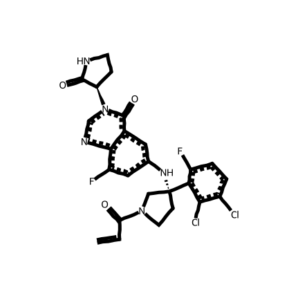 C=CC(=O)N1CC[C@](Nc2cc(F)c3ncn([C@@H]4CCNC4=O)c(=O)c3c2)(c2c(F)ccc(Cl)c2Cl)C1